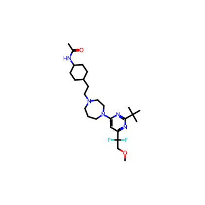 COCC(F)(F)c1cc(N2CCCN(CCC3CCC(NC(C)=O)CC3)CC2)nc(C(C)(C)C)n1